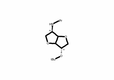 CC(C)N[C@@H]1COC2C1OC[C@@H]2OC(C)(C)C